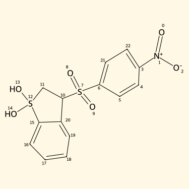 O=[N+]([O-])c1ccc(S(=O)(=O)C2CS(O)(O)c3ccccc32)cc1